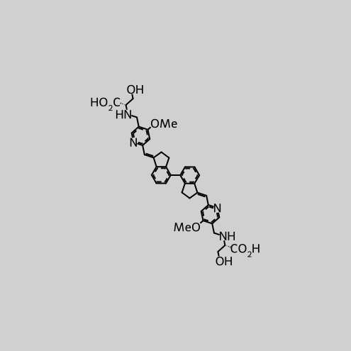 COc1cc(/C=C2\CCc3c2cccc3-c2cccc3c2CC/C3=C\c2cc(OC)c(CN[C@@H](CO)C(=O)O)cn2)ncc1CN[C@@H](CO)C(=O)O